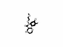 COCCONC(=O)[C@@H]1CNCCO[C@H]1c1ccc(Cl)c(F)c1